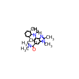 [2H]C([2H])N(c1c(C)cccc1C)c1cc(C(=O)N(C)C)cc2c1nc(C)n2C